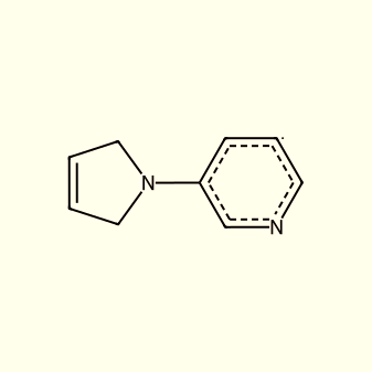 [c]1cncc(N2CC=CC2)c1